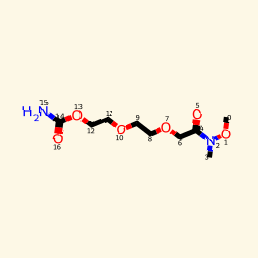 CON(C)C(=O)COCCOCCOC(N)=O